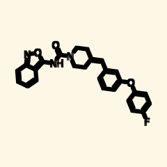 O=C(Nc1onc2ccccc12)N1CCC(=Cc2cccc(Oc3ccc(F)cc3)c2)CC1